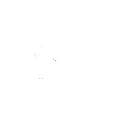 Cn1nc(Br)nc1CO